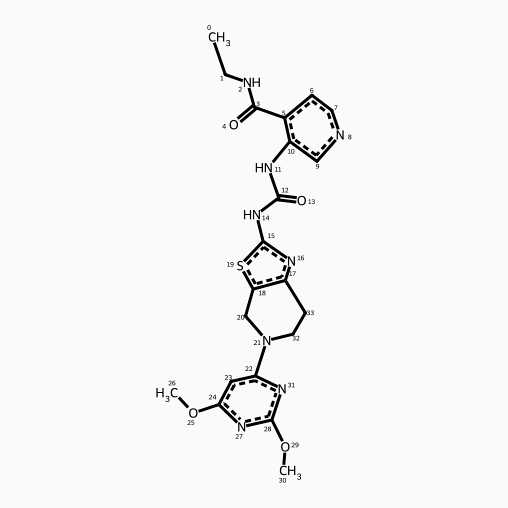 CCNC(=O)c1ccncc1NC(=O)Nc1nc2c(s1)CN(c1cc(OC)nc(OC)n1)CC2